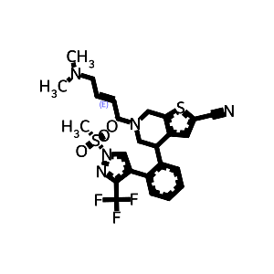 CN(C)C/C=C/C(=O)N1Cc2sc(C#N)cc2C(c2ccccc2-c2cn(S(C)(=O)=O)nc2C(F)(F)F)C1